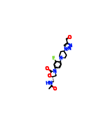 CC(=O)NC[C@H]1CN(c2ccc(N3CCC(n4cc(C=O)nn4)CC3)c(F)c2)C(=O)O1